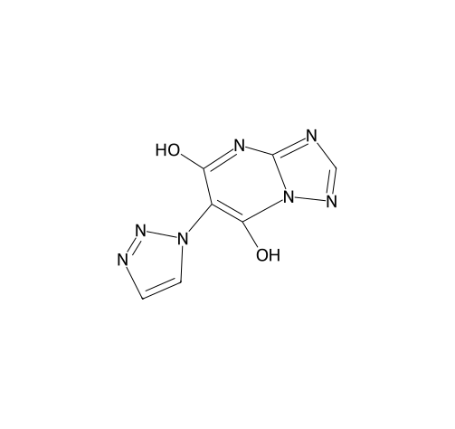 Oc1nc2ncnn2c(O)c1-n1ccnn1